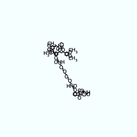 COc1ccc(CCC(OC(=O)[C@@H]2CCCCN2C(=O)Cc2cc(OC)c(OC)c(OC)c2)c2cccc(OCC(=O)NCCOCCOCCOCCOCCNC(=O)COc3cccc4c3C(=O)N(C3CCC(=O)NC3=O)C4=O)c2)cc1OC